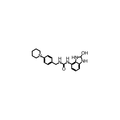 O=C(NCc1ccc(N2CCCCC2)cc1)Nc1cccc2c1NC(O)N2